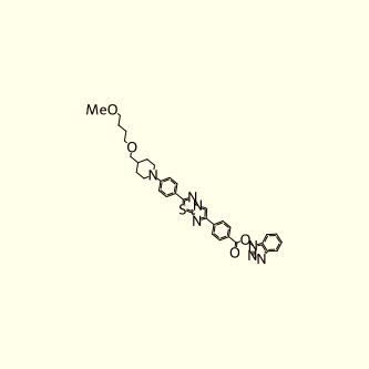 COCCCCOCC1CCN(c2ccc(-c3nn4cc(-c5ccc(C(=O)On6nnc7ccccc76)cc5)nc4s3)cc2)CC1